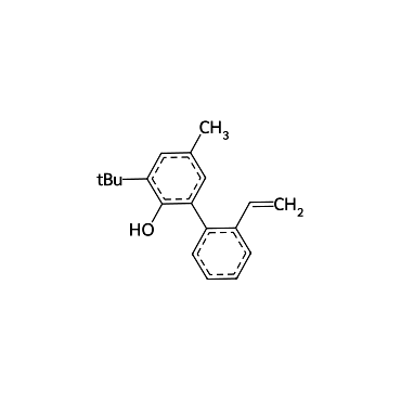 C=Cc1ccccc1-c1cc(C)cc(C(C)(C)C)c1O